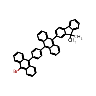 CC1(C)c2ccccc2-c2ccc(-c3c4ccccc4c(-c4ccc(-c5c6ccccc6c(Br)c6ccccc56)cc4)c4ccccc34)cc21